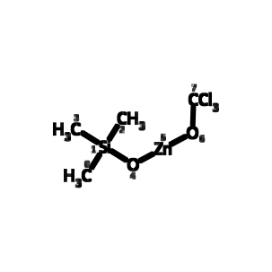 C[Si](C)(C)[O][Zn][O]C(Cl)(Cl)Cl